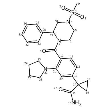 CS(=O)(=O)N1CCN(C(=O)c2ccc(C3(C(N)=O)CC3)cc2N2CCCC2)C(c2ccccc2)C1